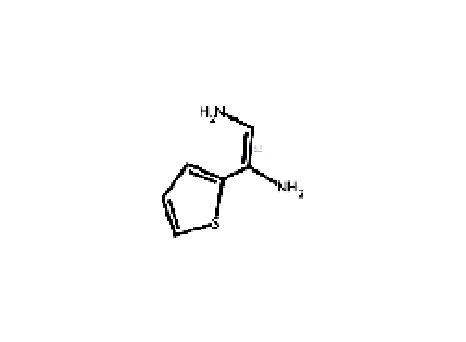 N/C=C(/N)c1cccs1